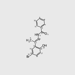 C/C(=N\NC(=O)c1ccccc1)c1cc(Br)ccc1O